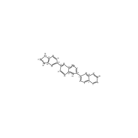 c1cc2ccc(-c3cnc4cc(-c5ccc6onnc6c5)ccc4n3)cc2cn1